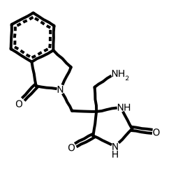 NCC1(CN2Cc3ccccc3C2=O)NC(=O)NC1=O